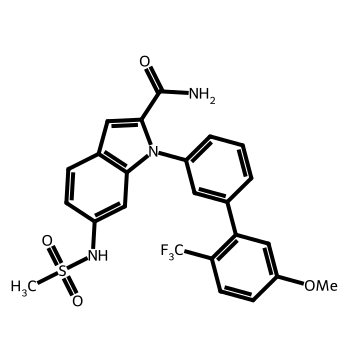 COc1ccc(C(F)(F)F)c(-c2cccc(-n3c(C(N)=O)cc4ccc(NS(C)(=O)=O)cc43)c2)c1